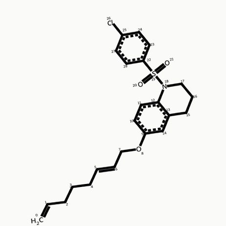 C=CC[CH]CC=CCOc1ccc2c(c1)CCCN2S(=O)(=O)c1ccc(Cl)cc1